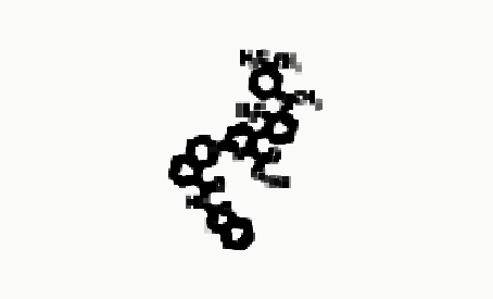 Cc1c(-c2ccc(N3CCc4cccc(C(=O)Nc5nc6ccccc6s5)c4C3)nc2C(=O)OC(C)(C)C)cccc1N(C)C1CCCC(C)(C)C1